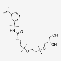 C=C(C)c1cccc(C(C)(C)NC(=O)OCCC(C)(C)OCCC(C)(C)OCC(O)CO)c1